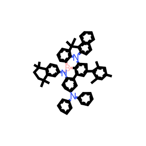 Cc1cc(C)c(-c2cc3c4c(c2)N2c5ccc6ccccc6c5C(C)(C)c5cccc(c52)B4N(c2ccc4c(c2)C(C)(C)CCC4(C)C)c2ccc(N(c4ccccc4)c4ccccc4)cc2-3)c(C)c1